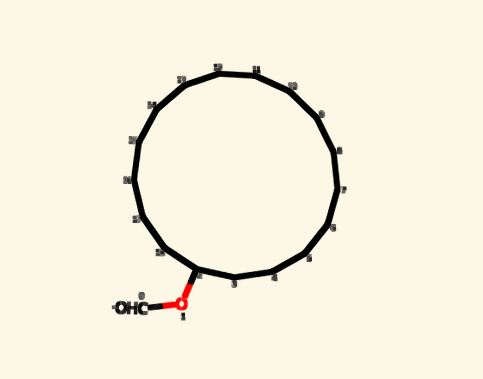 O=[C]OC1CCCCCCCCCCCCCCCC1